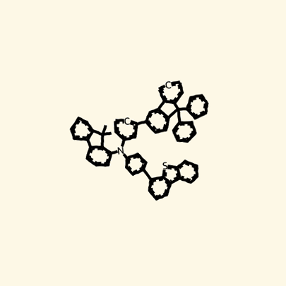 CC1(C)c2ccccc2-c2cccc(N(c3ccc(-c4cccc5c4sc4ccccc45)cc3)c3cccc(-c4ccc5c(c4)-c4ccccc4C5(c4ccccc4)c4ccccc4)c3)c21